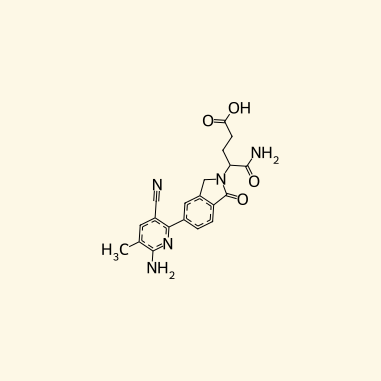 Cc1cc(C#N)c(-c2ccc3c(c2)CN(C(CCC(=O)O)C(N)=O)C3=O)nc1N